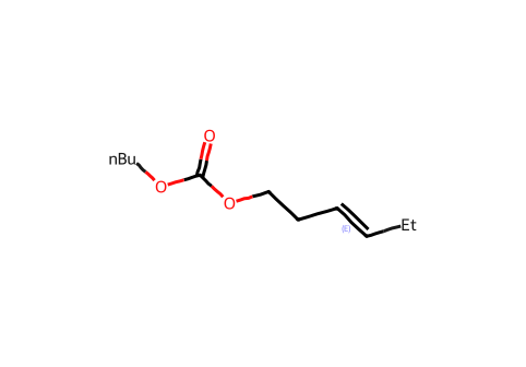 CC/C=C/CCOC(=O)OCCCC